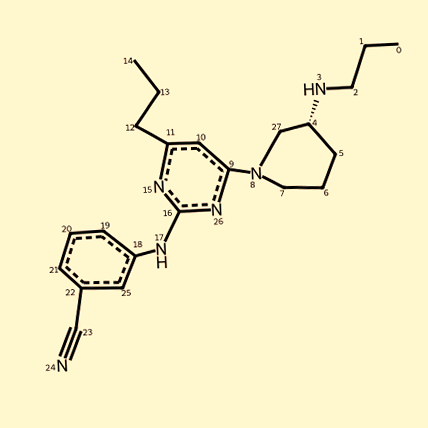 CCCN[C@@H]1CCCN(c2cc(CCC)nc(Nc3cccc(C#N)c3)n2)C1